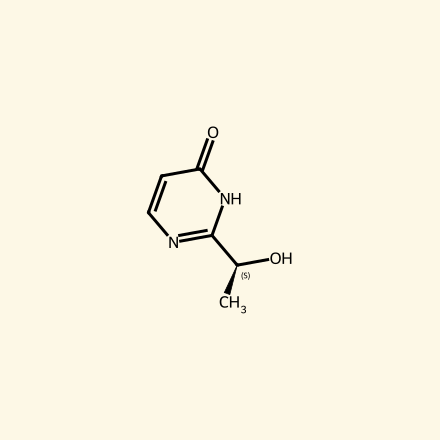 C[C@H](O)c1nccc(=O)[nH]1